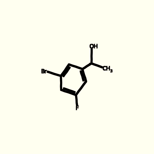 C[C](O)c1cc(F)cc(Br)c1